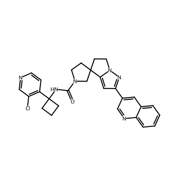 O=C(NC1(c2ccncc2Cl)CCC1)N1CCC2(CCn3nc(-c4cnc5ccccc5c4)cc32)C1